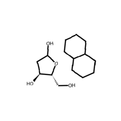 C1CCC2CCCCC2C1.OC[C@H]1OC(O)C[C@@H]1O